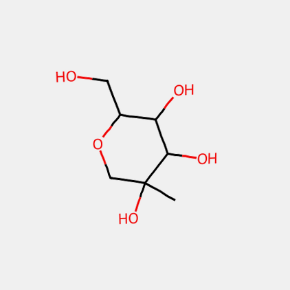 CC1(O)COC(CO)C(O)C1O